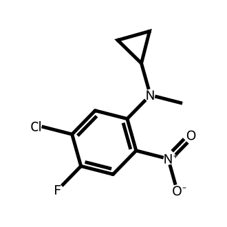 CN(c1cc(Cl)c(F)cc1[N+](=O)[O-])C1CC1